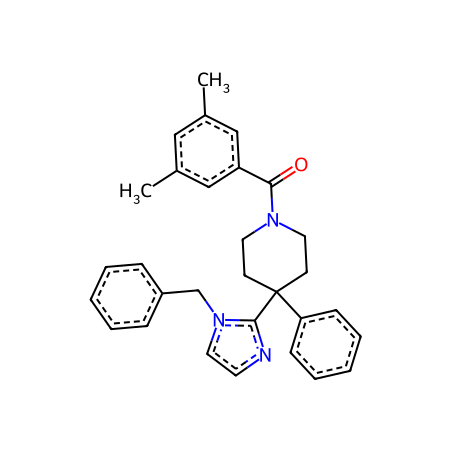 Cc1cc(C)cc(C(=O)N2CCC(c3ccccc3)(c3nccn3Cc3ccccc3)CC2)c1